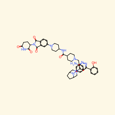 Nc1nnc(-c2ccccc2O)cc1N1CC2CCC(C1)N2c1cccc(CN2CCC(C(=O)NC3CCN(c4ccc5c(c4)C(=O)N(C4CCC(=O)NC4=O)C5=O)CC3)CC2)c1